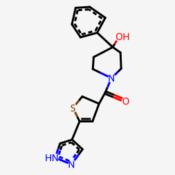 O=C(C1C=C(c2cn[nH]c2)SC1)N1CCC(O)(c2ccccc2)CC1